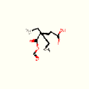 CCC(CC)(CC(=O)O)C(=O)OC=O